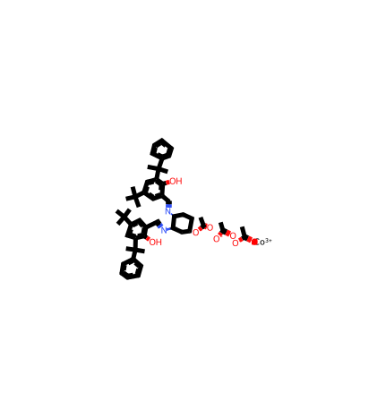 CC(=O)[O-].CC(=O)[O-].CC(=O)[O-].CC(C)(C)c1cc(C=N[C@@H]2CCCC[C@H]2N=Cc2cc(C(C)(C)C)cc(C(C)(C)c3ccccc3)c2O)c(O)c(C(C)(C)c2ccccc2)c1.[Co+3]